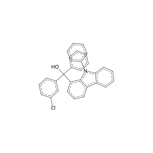 OC(c1ccccc1)(c1cccc(Cl)c1)c1cccc2c3ccccc3n(-c3ccccc3)c12